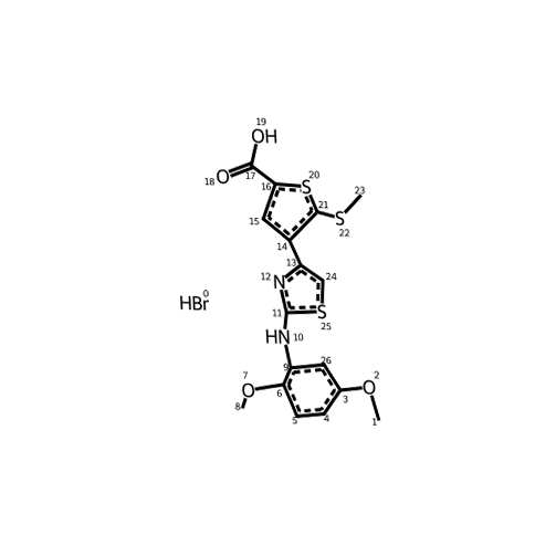 Br.COc1ccc(OC)c(Nc2nc(-c3cc(C(=O)O)sc3SC)cs2)c1